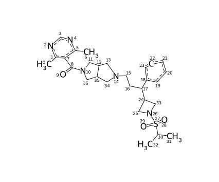 Cc1ncnc(C)c1C(=O)N1CC2CN(CCC(c3ccccc3)C3CN(S(=O)(=O)C(C)C)C3)CC2C1